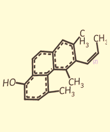 C/C=C\c1c(C)cc2ccc3c(O)ccc(C)c3c2c1C